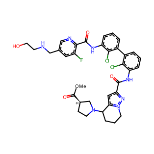 COC(=O)[C@@H]1CCN(C2CCCn3nc(C(=O)Nc4cccc(-c5cccc(NC(=O)c6ncc(CNCCO)cc6F)c5Cl)c4Cl)cc32)C1